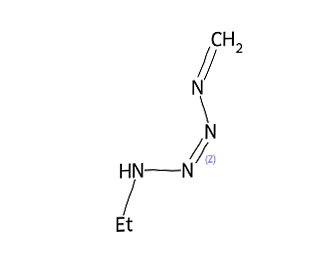 C=N/N=N\NCC